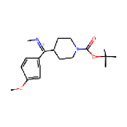 C/N=C(\c1ccc(OC)cc1)C1CCN(C(=O)OC(C)(C)C)CC1